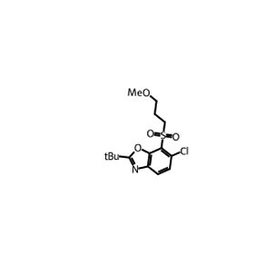 COCCCS(=O)(=O)c1c(Cl)ccc2nc(C(C)(C)C)oc12